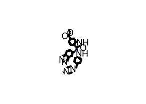 COC(=O)c1ccc2c(c1)NC(=O)/C2=C(\Nc1ccc(CN2CCN(C)CC2)cc1)c1ccc2cnncc2c1